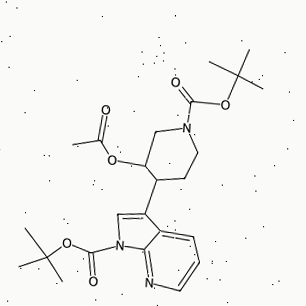 CC(=O)OC1CN(C(=O)OC(C)(C)C)CCC1c1cn(C(=O)OC(C)(C)C)c2ncccc12